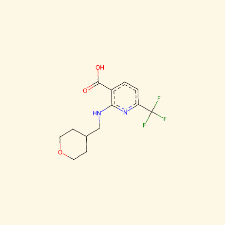 O=C(O)c1ccc(C(F)(F)F)nc1NCC1CCOCC1